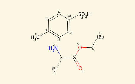 CC(C)[C@H](N)C(=O)OCC(C)(C)C.Cc1ccc(S(=O)(=O)O)cc1